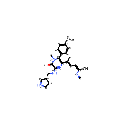 C=N/C(C#N)=C\C=C(/C)c1nc(NC[C@H]2CCNC2)c(=O)n(C)c1-c1ccc(OC)cc1